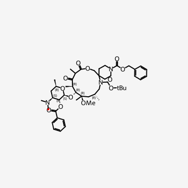 CO[C@]1(C)C[C@@H](C)CN(C(=O)OC(C)(C)C)C2(CCN(C(=O)OCc3ccccc3)CC2)COC(=O)C(C)C(=O)[C@H](C)[C@H]1O[C@@H]1O[C@H](C)C[C@H](N(C)C)[C@H]1OC(=O)c1ccccc1